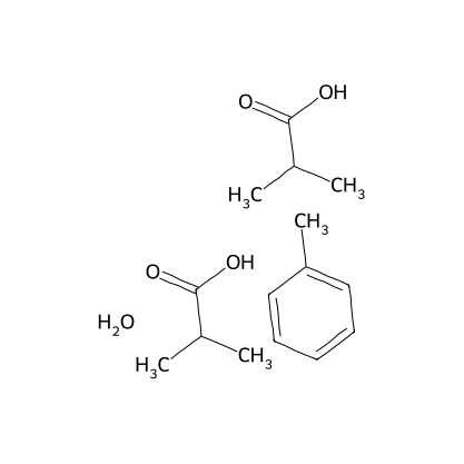 CC(C)C(=O)O.CC(C)C(=O)O.Cc1ccccc1.O